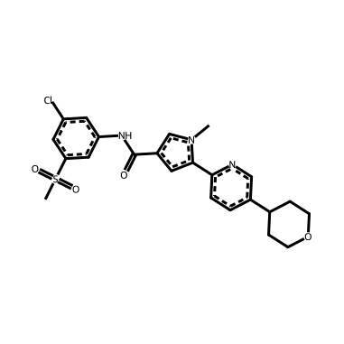 Cn1cc(C(=O)Nc2cc(Cl)cc(S(C)(=O)=O)c2)cc1-c1ccc(C2CCOCC2)cn1